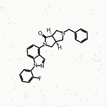 O=C1[C@H]2CN(Cc3ccccc3)C[C@@H]2CN1c1cccc2c1cnn2-c1ccccc1F